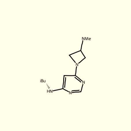 CC[C@@H](C)Nc1cc(N2CC(NC)C2)ncn1